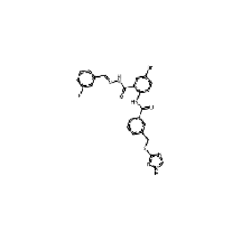 O=C(Nc1ccc(Br)cc1C(=O)NN=Cc1cccc(F)c1)c1cccc(CSc2nc[nH]n2)c1